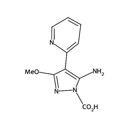 COc1nn(C(=O)O)c(N)c1-c1ccccn1